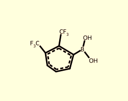 OB(O)c1cccc(C(F)(F)F)c1C(F)(F)F